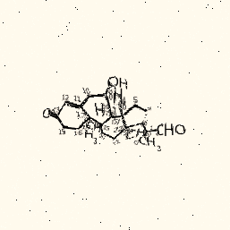 C[C@H](C=O)[C@H]1CC[C@H]2[C@@H]3C(O)CC4=CC(=O)CC[C@]4(C)[C@H]3CC[C@]12C